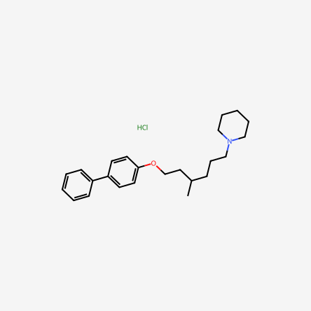 CC(CCCN1CCCCC1)CCOc1ccc(-c2ccccc2)cc1.Cl